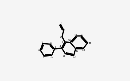 C=CCc1c(-c2ccccc2)ccc2ccccc12